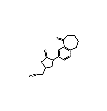 CC(=O)NCC1CN(c2ccc3c(c2)C(=O)CCCC3)C(=O)O1